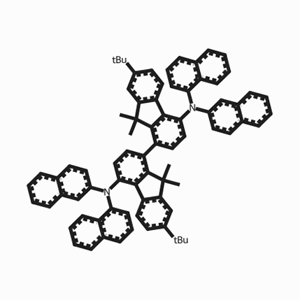 CC(C)(C)c1ccc2c(c1)C(C)(C)c1c(-c3ccc(N(c4ccc5ccccc5c4)c4cccc5ccccc45)c4c3C(C)(C)c3cc(C(C)(C)C)ccc3-4)ccc(N(c3ccc4ccccc4c3)c3cccc4ccccc34)c1-2